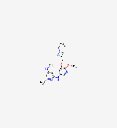 CCN1CC(COc2cc(Nc3cc(NC)cc(C)n3)cnc2OC)C1